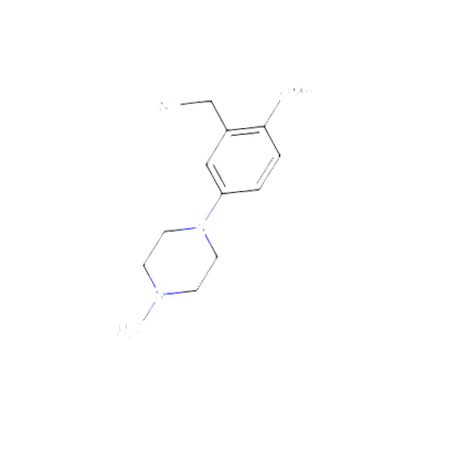 COc1ccc(N2CCN(C)CC2)cc1CC#N